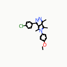 CCOc1ccc(-n2c(C)c3c(C)nnc(-c4ccc(Cl)cc4)c3c2C)cc1